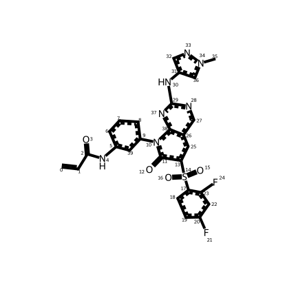 C=CC(=O)Nc1cccc(-n2c(=O)c(S(=O)(=O)c3ccc(F)cc3F)cc3cnc(Nc4cnn(C)c4)nc32)c1